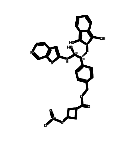 O=C(OCc1ccc([C@@H](Cn2c(O)c3ccccc3c2O)[C@H](O)Nc2cc3ccncc3s2)cc1)C1CC(O[N+](=O)[O-])C1